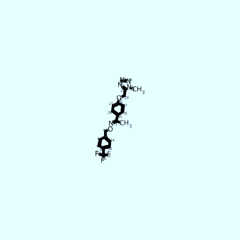 C/C(=N\OCc1ccc(C(F)(F)F)cc1)c1ccc(OCc2nnnn2C)cc1